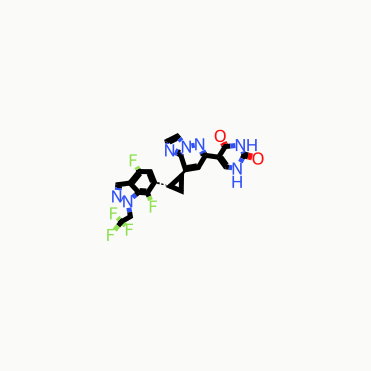 O=c1[nH]cc(-c2cc([C@H]3C[C@@H]3c3cc(F)c4cnn(CC(F)(F)F)c4c3F)c3nccn3n2)c(=O)[nH]1